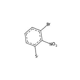 O=[N+]([O-])c1c([S])cccc1Br